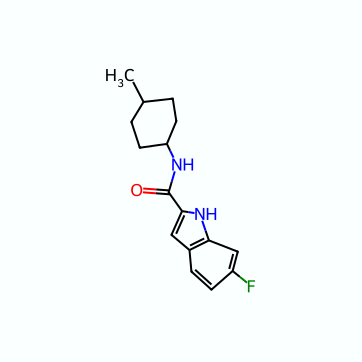 CC1CCC(NC(=O)c2cc3ccc(F)cc3[nH]2)CC1